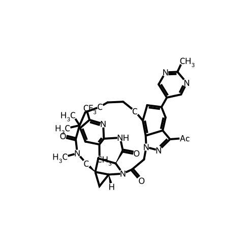 CC(=O)c1nn2c3c(cc(-c4cnc(C)nc4)cc13)CCCCCC(C)(C)C(=O)N(C)C[C@@]13C[C@@H](C(=O)Nc4nc(C(F)(F)F)ccc4C)N(C(=O)C2)[C@@H]1C3